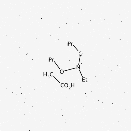 CC(=O)O.CCN(OC(C)C)OC(C)C